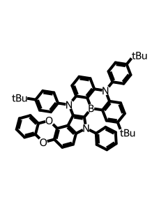 CC(C)(C)c1ccc(N2c3ccc(C(C)(C)C)cc3B3c4c2cccc4N(c2ccc(C(C)(C)C)cc2)c2c3n(-c3ccccc3)c3ccc4c(c23)Oc2ccccc2O4)cc1